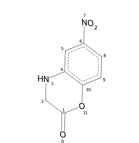 O=C1CNc2cc([N+](=O)[O-])ccc2O1